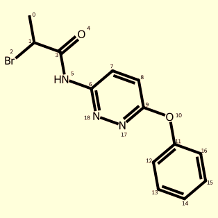 CC(Br)C(=O)Nc1ccc(Oc2ccccc2)nn1